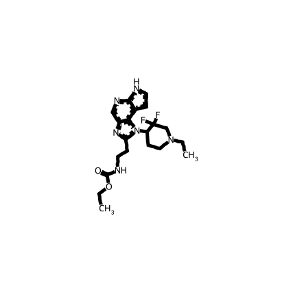 CCOC(=O)NCCc1nc2cnc3[nH]ccc3c2n1C1CCN(CC)CC1(F)F